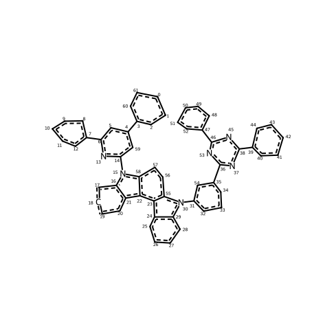 c1ccc(-c2cc(-c3ccccc3)nc(-n3c4ccccc4c4c5c6ccccc6n(-c6cccc(-c7nc(-c8ccccc8)nc(-c8ccccc8)n7)c6)c5ccc43)c2)cc1